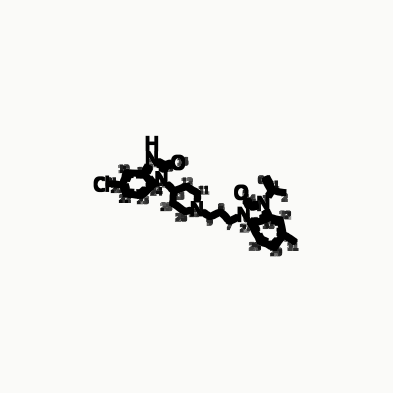 C=C(C)n1c(=O)n(CCCN2CCC(n3c(=O)[nH]c4cc(Cl)ccc43)CC2)c2ccc(C)cc21